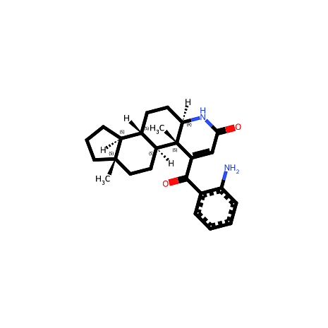 C[C@@]12CCC[C@H]1[C@@H]1CC[C@H]3NC(=O)C=C(C(=O)c4ccccc4N)[C@]3(C)[C@H]1CC2